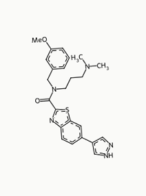 COc1cccc(CN(CCCN(C)C)C(=O)c2nc3ccc(-c4cn[nH]c4)cc3s2)c1